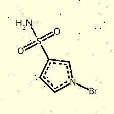 NS(=O)(=O)c1ccn(Br)c1